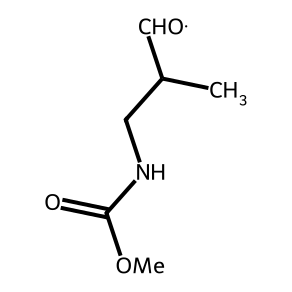 COC(=O)NCC(C)[C]=O